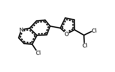 Clc1ccnc2ccc(-c3ccc(C(Cl)Cl)o3)cc12